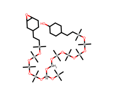 C[Si](C)(C)O[SiH](O[SiH2]O[Si](C)(C)O[Si](C)(C)O[Si](C)(C)O[Si](C)(C)O[Si](C)(C)CCC1CCC(O)CC1)O[Si](C)(C)O[Si](C)(C)O[Si](C)(C)O[Si](C)(C)CCC1CCC2OC2C1